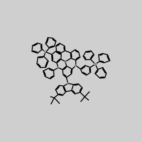 CC(C)(C)c1ccc2c(c1)c1cc(C(C)(C)C)ccc1n2-c1cc2c3c(c1)N(c1cccc([Si](c4ccccc4)(c4ccccc4)c4ccccc4)c1)c1cccc(-c4ccccc4)c1B3c1ccc([Si](c3ccccc3)(c3ccccc3)c3ccccc3)cc1N2c1ccccc1